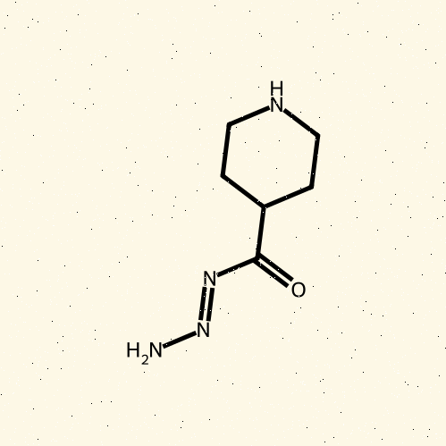 NN=NC(=O)C1CCNCC1